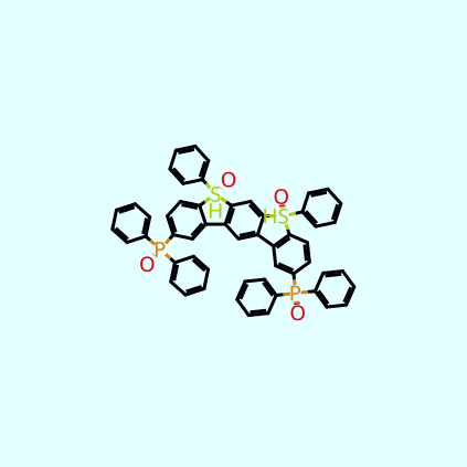 O=P(c1ccccc1)(c1ccccc1)c1ccc2c(c1)-c1cc3c(cc1[SH]2(=O)c1ccccc1)[SH](=O)(c1ccccc1)c1ccc(P(=O)(c2ccccc2)c2ccccc2)cc1-3